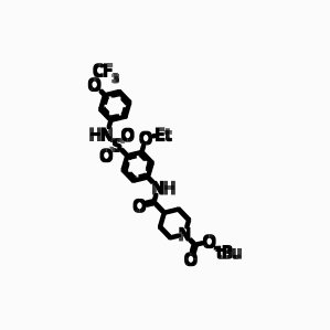 CCOc1cc(NC(=O)C2CCN(C(=O)OC(C)(C)C)CC2)ccc1S(=O)(=O)Nc1cccc(OC(F)(F)F)c1